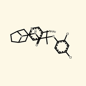 CC(=O)Nc1ccc(N2C3CCC2CC(NC(=O)C(C)(C)Oc2ccc(Cl)cc2Cl)C3)nc1